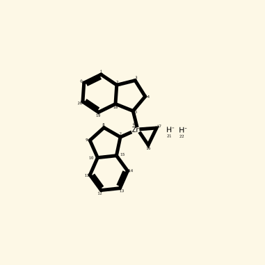 C1=CC2CC[CH]([Zr]3([CH]4CCC5C=CC=CC54)[CH2][CH2]3)C2C=C1.[H-].[H-]